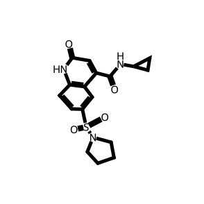 O=C(NC1CC1)c1cc(=O)[nH]c2ccc(S(=O)(=O)N3CCCC3)cc12